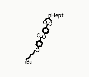 CCCCCCCC1COC(c2ccc(OC(=O)c3ccc(OCCCCCC(C)CC)cc3)cc2)OC1